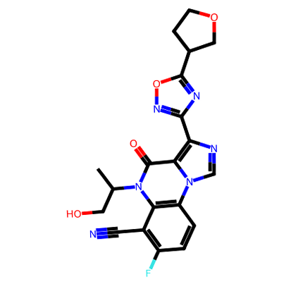 CC(CO)n1c(=O)c2c(-c3noc(C4CCOC4)n3)ncn2c2ccc(F)c(C#N)c21